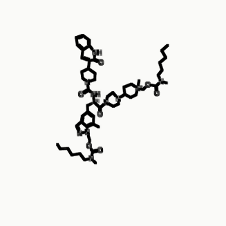 CCCCCCN(C)C(=O)OCn1ncc2cc(C[C@@H](NC(=O)N3CCC(c4cc5ccccc5[nH]c4=O)CC3)C(=O)N3CCN(C4CC[N+](C)(COC(=O)N(C)CCCCCC)CC4)CC3)cc(C)c21